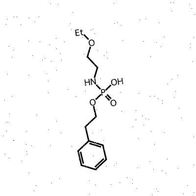 CCOCCNP(=O)(O)OCCc1ccccc1